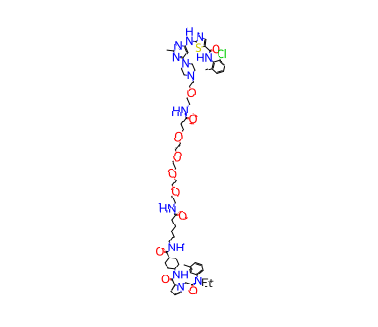 CCN(C(=O)Cn1cccc1C(=O)N[C@H]1CC[C@H](C(=O)NCCCCCC(=O)NCCOCCOCCOCCOCCC(=O)NCCOCCN2CCN(c3cc(Nc4ncc(C(=O)Nc5c(C)cccc5Cl)s4)nc(C)n3)CC2)CC1)c1cccc(C)c1